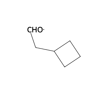 O=[C]CC1CCC1